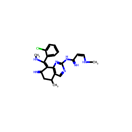 CN/C=C\C(=N)Nc1ncc2c(n1)/C(=C(/NC)c1ccccc1Cl)C(=N)CC2C